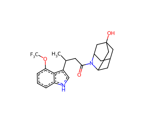 CC(CC(=O)N1C2CC3CC1CC(O)(C3)C2)c1c[nH]c2cccc(OC(F)(F)F)c12